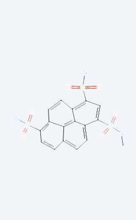 CNS(=O)(=O)c1cc(S(N)(=O)=O)c2ccc3c(S(N)(=O)=O)ccc4ccc1c2c43